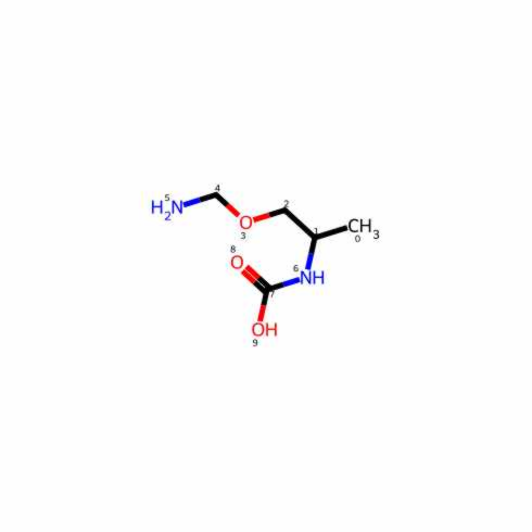 CC(COCN)NC(=O)O